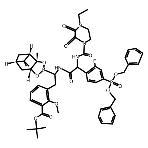 CCN1CCN(C(=O)NC(C(=O)NC(Cc2cccc(C(=O)OC(C)(C)C)c2OC)B2O[C@@H]3C[C@@H]4C[C@@H](C4(C)C)[C@]3(C)O2)c2ccc(P(=O)(OCc3ccccc3)OCc3ccccc3)cc2F)C(=O)C1=O